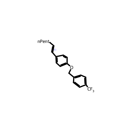 CCCCC/C=C/c1ccc(OCc2ccc(C(F)(F)F)cc2)cc1